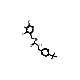 CC(C)(C)c1ccc(CNC(=S)NCc2ccc(F)c(F)c2F)cc1